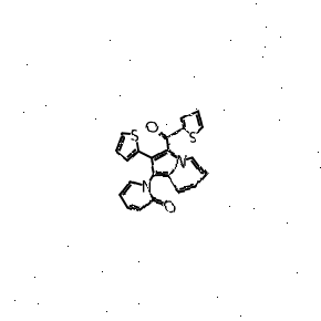 O=C(c1cccs1)c1c(-c2cccs2)c(-n2ccccc2=O)c2ccccn12